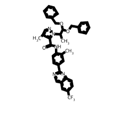 Cc1cc(-c2ncc3cc(C(F)(F)F)ccc3n2)ccc1NC(=O)c1c(C)cnn1C(C)C(OCc1ccccc1)OCc1ccccc1